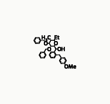 CC[C@H]1O[C@@H](C(O)c2ccccc2Cc2ccc(OC)cc2)[C@H](OCc2ccccc2)[C@@H](OCc2ccccc2)[C@@H]1C